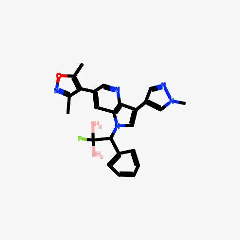 BC(B)(F)C(c1ccccc1)n1cc(-c2cnn(C)c2)c2ncc(-c3c(C)noc3C)cc21